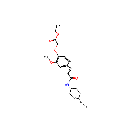 CCOC(=O)COc1ccc(/C=C/C(=O)N[C@H]2CC[C@H](C)CC2)cc1OC